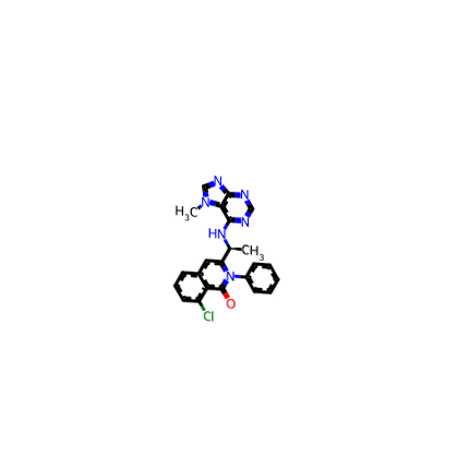 C[C@H](Nc1ncnc2ncn(C)c12)c1cc2cccc(Cl)c2c(=O)n1-c1ccccc1